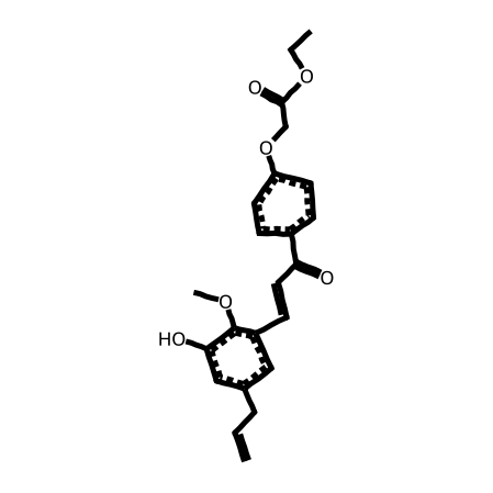 C=CCc1cc(O)c(OC)c(/C=C/C(=O)c2ccc(OCC(=O)OCC)cc2)c1